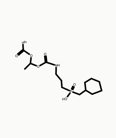 CCCC(=O)OC(C)OC(=O)NCCCP(=O)(O)CC1CCCCC1